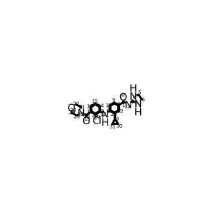 O=C(N=C1NCCN1)c1ccc(Nc2cccc(C(=O)N3CCOCC3)c2Cl)c(C2CC2)c1